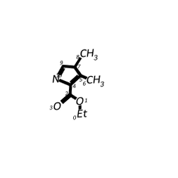 CCOC(=O)C1=C(C)C(C)C=N1